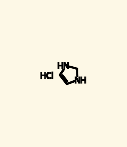 C1=CNCN1.Cl